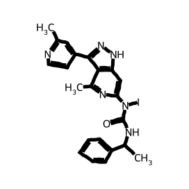 Cc1cc(-c2n[nH]c3cc(N(I)C(=O)NC(C)c4ccccc4)nc(C)c23)ccn1